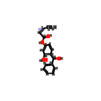 O=C(O)/C=C\C(=O)Oc1ccc(C(=O)c2ccccc2)c(O)c1